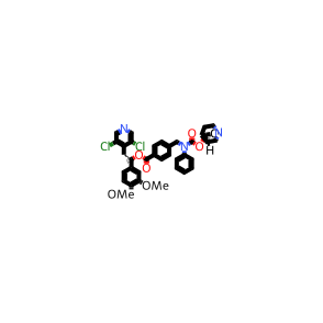 COc1ccc([C@H](Cc2c(Cl)cncc2Cl)OC(=O)c2ccc(CN(C(=O)O[C@H]3CN4CCC3CC4)c3ccccc3)cc2)cc1OC